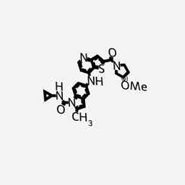 CO[C@H]1CCN(C(=O)c2cc3nccc(Nc4ccc5c(c4)cc(C)n5C(=O)NC4CC4)c3s2)C1